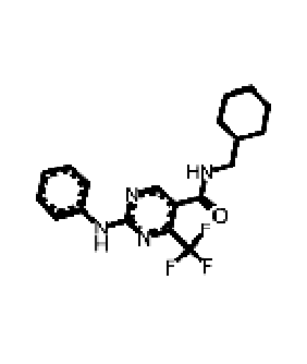 O=C(NCC1CCCCC1)c1cnc(Nc2ccccc2)nc1C(F)(F)F